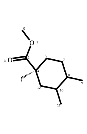 COC(=O)[C@@]1(C)CCC(C)C(C)C1